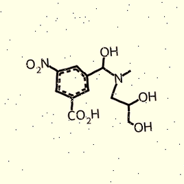 CN(CC(O)CO)C(O)c1cc(C(=O)O)cc([N+](=O)[O-])c1